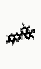 Cc1ccc2c(c1Cl)[C@H](C)[C@H](C)N=C2c1cnc2c(F)c(F)ccc2c1